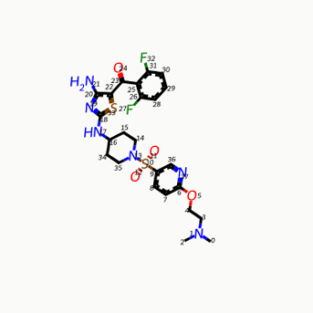 CN(C)CCOc1ccc(S(=O)(=O)N2CCC(Nc3nc(N)c(C(=O)c4c(F)cccc4F)s3)CC2)cn1